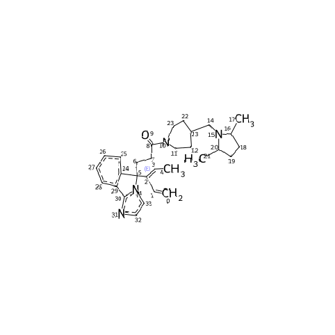 C=C/C(=C\C)C1(CCC(=O)N2CCC(CN3C(C)CCC3C)CC2)c2ccccc2-c2nccn21